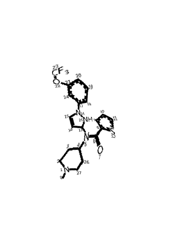 CN1CCC(N(C(=O)c2cccs2)C2C=CN(c3cccc(OC(F)(F)F)c3)N2)CC1